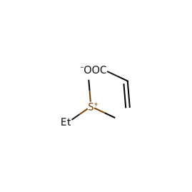 C=CC(=O)[O-].CC[S+](C)C